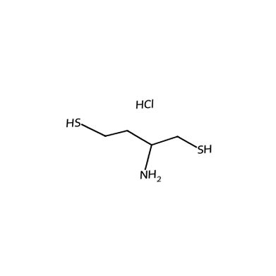 Cl.NC(CS)CCS